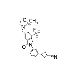 C[C@@H]1CN(Cc2cc3c(c(C(F)(F)F)c2)CN(c2cccc(C4CC(C#N)C4)c2)C3=O)CCO1